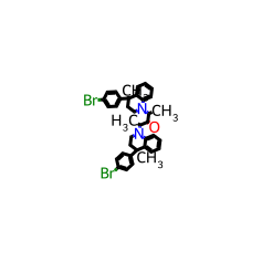 CC(C(=O)C(C)N1CCC(C)(c2ccc(Br)cc2)c2ccccc21)N1CCC(C)(c2ccc(Br)cc2)c2ccccc21